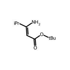 CC(C)C(N)=CC(=O)OC(C)(C)C